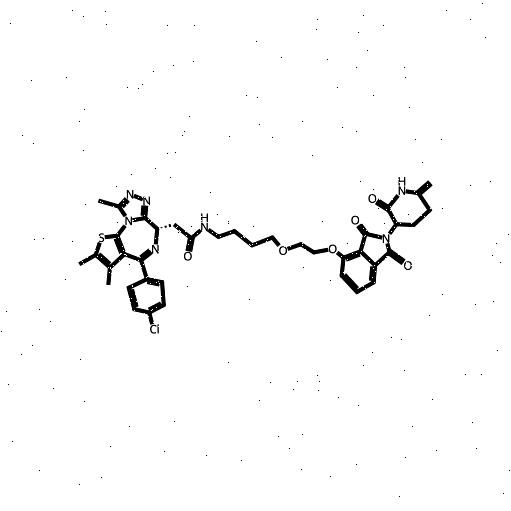 C=C1CCC(N2C(=O)c3cccc(OCCOCCCCNC(=O)C[C@@H]4N=C(c5ccc(Cl)cc5)c5c(sc(C)c5C)-n5c(C)nnc54)c3C2=O)C(=O)N1